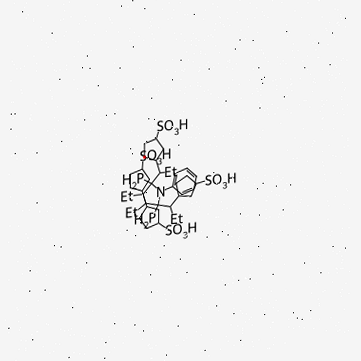 CCC(C1CCC(S(=O)(=O)O)C1)C(P)(C(CC)C1CCC(S(=O)(=O)O)C1)N(c1ccccc1)C(P)(C(CC)C1CCC(S(=O)(=O)O)C1)C(CC)C1CCC(S(=O)(=O)O)C1